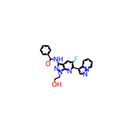 O=C(Nc1nn(CCO)c2nc(-c3cnn4ccccc34)c(F)cc12)c1ccccc1